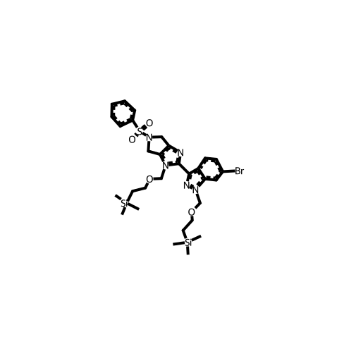 C[Si](C)(C)CCOCn1c(-c2nn(COCC[Si](C)(C)C)c3cc(Br)ccc23)nc2c1CN(S(=O)(=O)c1ccccc1)C2